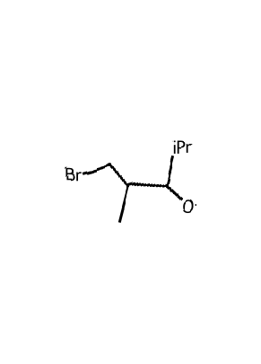 CC(C)C([O])C(C)CBr